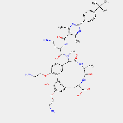 Cc1nc(-c2ccc(C(C)(C)C)cc2)nc(C)c1C(=O)NC(CCN)C(=O)N(C)C1C(=O)NC(C)C(=O)NC(C(=O)O)Cc2cc(OCCN)c(O)c(c2)-c2cc1ccc2OCCN